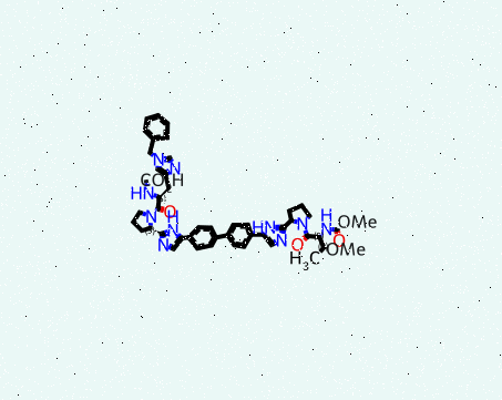 COC(=O)N[C@H](C(=O)N1CCCC1c1ncc(-c2ccc(-c3ccc(-c4cnc([C@@H]5CCCN5C(=O)[C@H](Cc5cn(Cc6ccccc6)cn5)NC(=O)O)[nH]4)cc3)cc2)[nH]1)[C@@H](C)OC